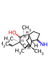 C=C[C@]1(C)CC[C@]2(C)[C@H](C)CC[C@]3(CCC(=N)[C@@H]23)[C@@H](C)[C@@H]1O